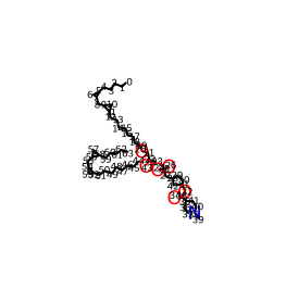 CCCCCC1CC1CC1CC1CCCCCCCCOCC(COC(=O)CC1CCC(OC(=O)C2CCN(C)CC2)C1)OCCCCCCCCC1CC1CC1CC1CCCCC